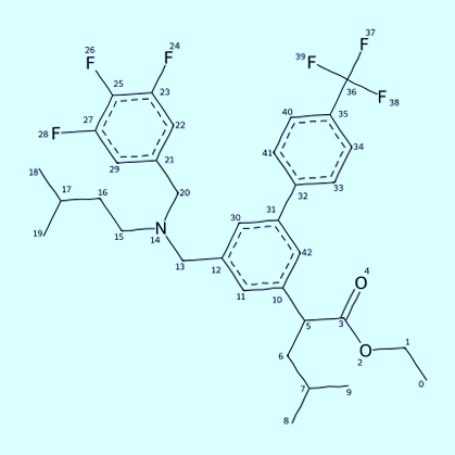 CCOC(=O)C(CC(C)C)c1cc(CN(CCC(C)C)Cc2cc(F)c(F)c(F)c2)cc(-c2ccc(C(F)(F)F)cc2)c1